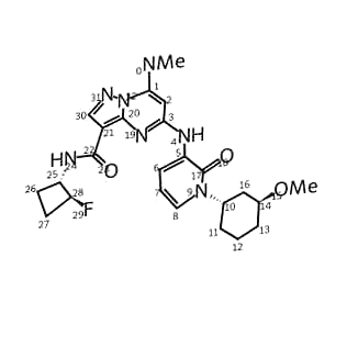 CNc1cc(Nc2cccn([C@H]3CCC[C@H](OC)C3)c2=O)nc2c(C(=O)N[C@H]3CC[C@@H]3F)cnn12